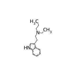 CCCN(CC)CCc1c[nH]c2ccccc12